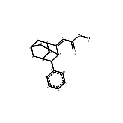 COC(=O)C=C1C2CC3CC(C2)C(c2ccccc2)C1C3